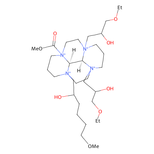 CCOCC(O)C[N+]12CCC[N+]3(CC(O)COCC)CC[N+]4(C(=O)OC)CCC[N+](CC(O)CCCCOC)(CC1)[C@@H]4[C@H]23